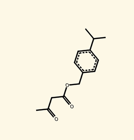 CC(=O)CC(=O)OCc1ccc(C(C)C)cc1